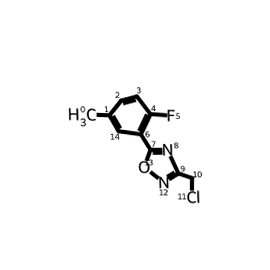 Cc1ccc(F)c(-c2nc(CCl)no2)c1